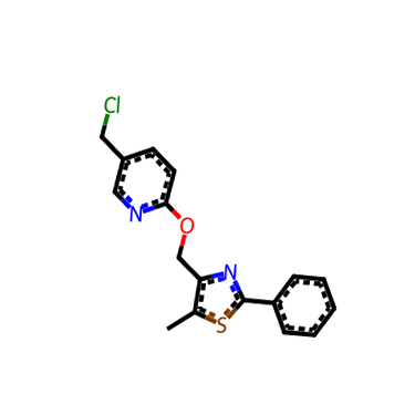 Cc1sc(-c2ccccc2)nc1COc1ccc(CCl)cn1